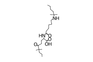 CCCCC(C)(C)NCCCCCC(=O)NC(CCC(=O)C(C)(C)CCC)C(=O)O